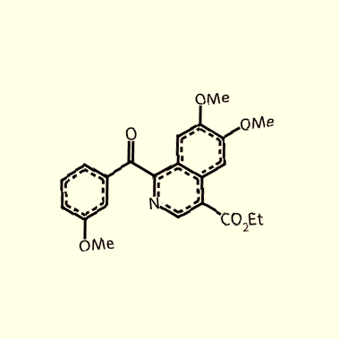 CCOC(=O)c1cnc(C(=O)c2cccc(OC)c2)c2cc(OC)c(OC)cc12